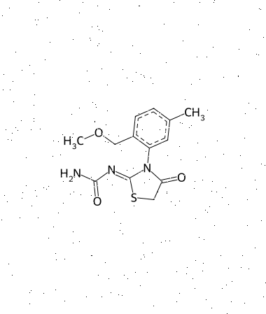 COCc1ccc(C)cc1N1C(=O)CSC1=NC(N)=O